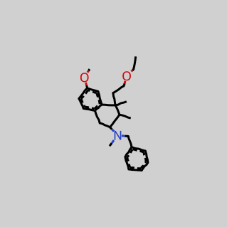 CCOCCC1(C)c2cc(OC)ccc2CC(N(C)Cc2ccccc2)C1C